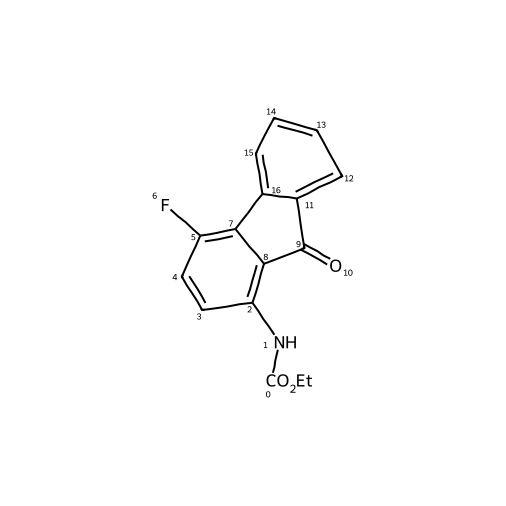 CCOC(=O)Nc1ccc(F)c2c1C(=O)c1ccccc1-2